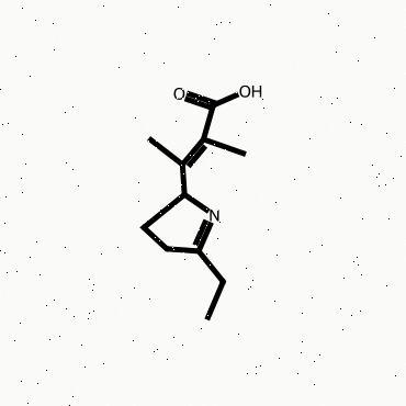 CCC1=NC(/C(C)=C(\C)C(=O)O)CC1